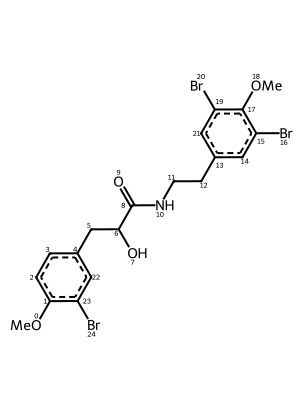 COc1ccc(CC(O)C(=O)NCCc2cc(Br)c(OC)c(Br)c2)cc1Br